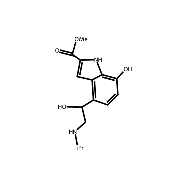 COC(=O)c1cc2c(C(O)CNC(C)C)ccc(O)c2[nH]1